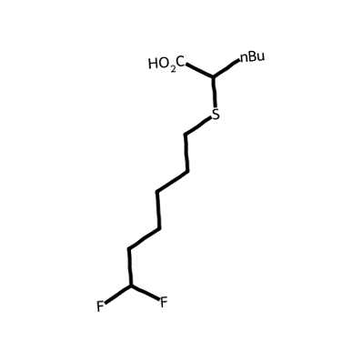 CCCCC(SCCCCCC(F)F)C(=O)O